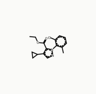 CCOC(=O)c1c(C2CC2)cnn1-c1c(C)cccc1Cl